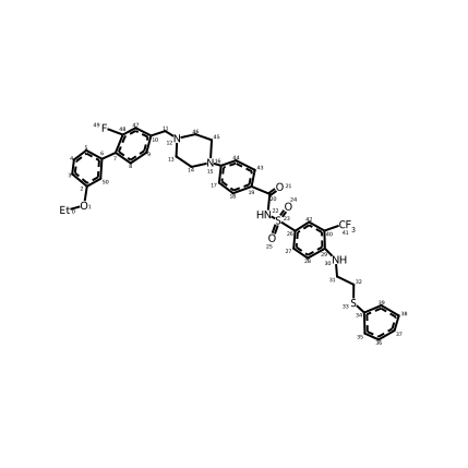 CCOc1cccc(-c2ccc(CN3CCN(c4ccc(C(=O)NS(=O)(=O)c5ccc(NCCSc6ccccc6)c(C(F)(F)F)c5)cc4)CC3)cc2F)c1